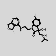 CC(C)NCC(O)(C(=O)NCCNc1ncnc2c1[C@H](C)OC2)c1ccc(Cl)cc1